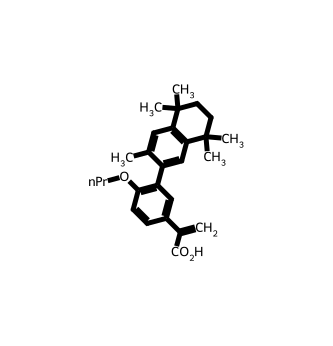 C=C(C(=O)O)c1ccc(OCCC)c(-c2cc3c(cc2C)C(C)(C)CCC3(C)C)c1